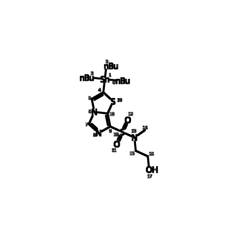 CCC[CH2][Sn]([CH2]CCC)([CH2]CCC)[c]1cn2cnc(S(=O)(=O)N(C)CCO)c2s1